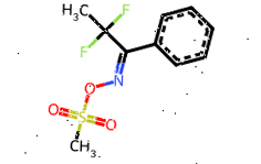 CC(F)(F)C(=NOS(C)(=O)=O)c1ccccc1